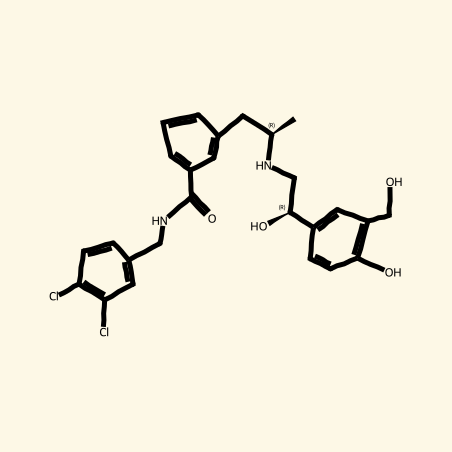 C[C@H](Cc1cccc(C(=O)NCc2ccc(Cl)c(Cl)c2)c1)NC[C@H](O)c1ccc(O)c(CO)c1